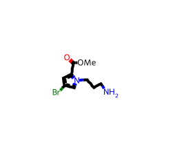 COC(=O)c1cc(Br)cn1CCCN